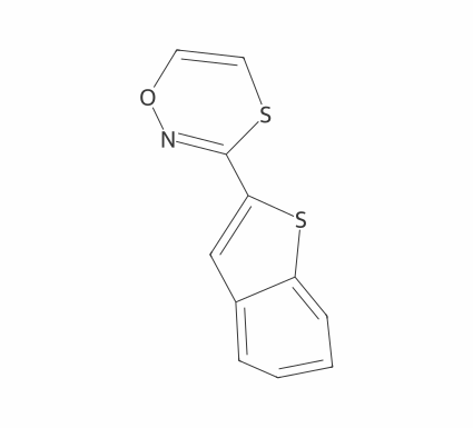 C1=CSC(c2cc3ccccc3s2)=NO1